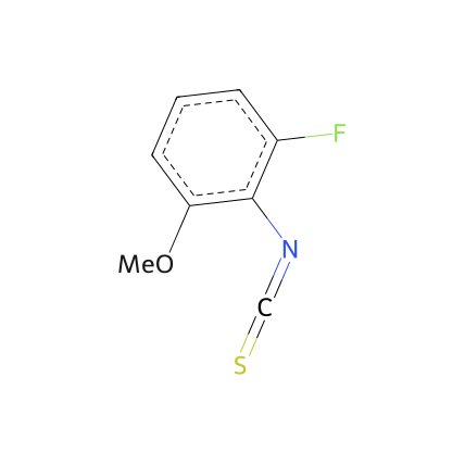 COc1cccc(F)c1N=C=S